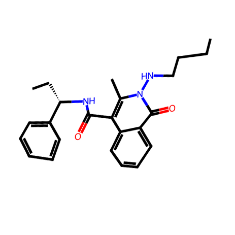 CCCCNn1c(C)c(C(=O)N[C@@H](CC)c2ccccc2)c2ccccc2c1=O